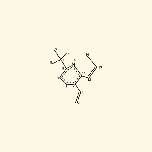 C=Cc1ccc(C(C)(C)C)nc1/C=C\C